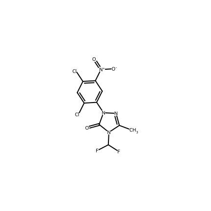 Cc1nn(-c2cc([N+](=O)[O-])c(Cl)cc2Cl)c(=O)n1C(F)F